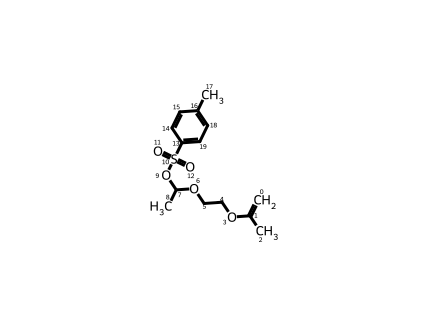 C=C(C)OCCOC(C)OS(=O)(=O)c1ccc(C)cc1